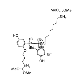 CCCCC(CCCC)(CCCC)C(C)(Cc1cc(O)ccc1OCCCCCCCC[SiH2]C(OC)OC)[P+](c1cc(O)ccc1OCCC[SiH2]C(OC)OC)(C(C)(C)C)C(C)(C)C.[Br-]